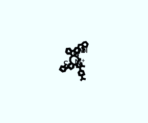 C=C1CC2C(CCc3c(ccc4c3sc3ccccc34)-c3cc(-c4ccc(C(C)C)cc4)c(C)c[n+]31)c1ccccc1-c1cc(CC3CCCCC3)c([Si](C)(C)C)c[n+]12